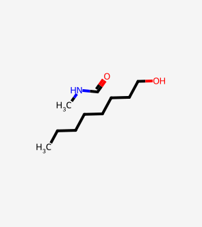 CCCCCCCCO.CNC=O